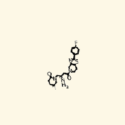 C[C@@H]1CCC(=O)N(C[C@@H](N)CC(=O)N2CCc3sc(-c4ccc(F)cc4)nc3C2)C1